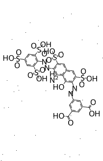 Nc1c(N=Nc2c(S(=O)(=O)O)cc(S(=O)(=O)O)cc2S(=O)(=O)O)c(S(=O)(=O)O)cc2cc(S(=O)(=O)O)c(N=Nc3cc(C(=O)O)cc(C(=O)O)c3)c(O)c12